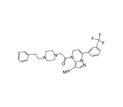 N#Cc1cnn2c1N(C(=O)CN1CCN(CCc3ccccc3)CC1)CC=C2c1cccc(C(F)(F)F)c1